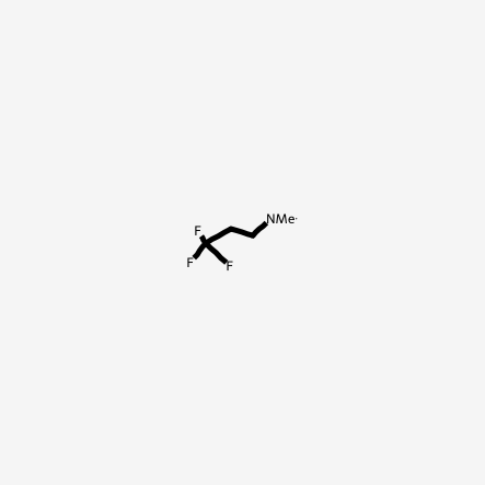 C[N]CCC(F)(F)F